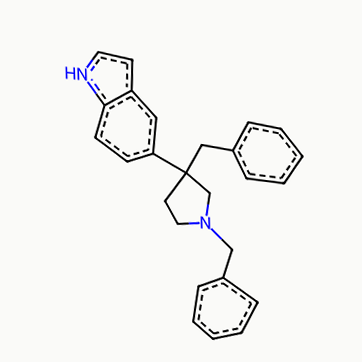 c1ccc(CN2CCC(Cc3ccccc3)(c3ccc4[nH]ccc4c3)C2)cc1